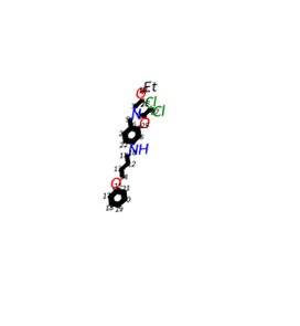 CCOCCN(Cc1ccc(NCCCCOc2ccccc2)cc1)C(=O)C(Cl)Cl